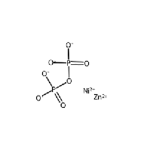 O=P([O-])([O-])OP(=O)([O-])[O-].[Ni+2].[Zn+2]